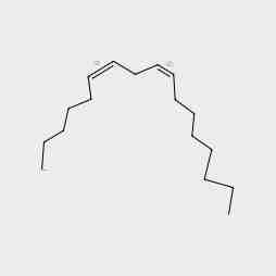 [CH2]CCCC/C=C\C/C=C\CCCCCCC